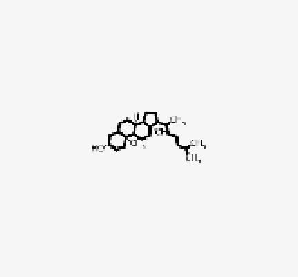 CC(C)CCCC(C)C1CCC2[C@@H]3CCC4C[C@@H](O)CC[C@]4(C)C3CC[C@]12C